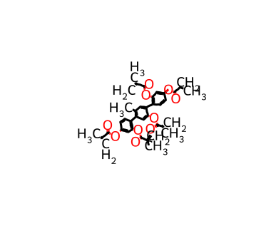 C=C(C)C(=O)Oc1ccc(-c2cc(OC(=O)C(=C)C)c(-c3ccc(OC(=O)C(=C)C)cc3OC(=O)C(=C)C)cc2C)c(OC(=O)C(=C)C)c1